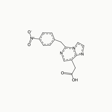 O=C(O)Cc1cnc(Cc2ccc([N+](=O)[O-])cc2)n2ccnc12